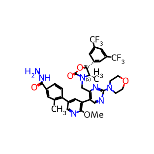 COc1ncc(-c2ccc(C(=O)NN)cc2C)cc1-c1cnc(N2CCOCC2)nc1CN1C(=O)O[C@H](c2cc(C(F)(F)F)cc(C(F)(F)F)c2)[C@@H]1C